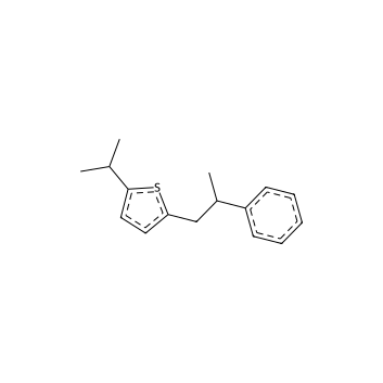 CC(C)c1ccc(CC(C)c2ccccc2)s1